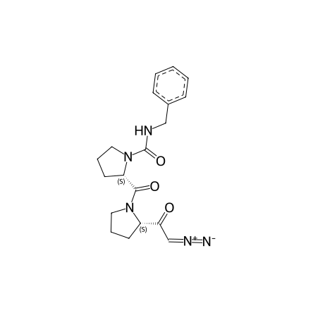 [N-]=[N+]=CC(=O)[C@@H]1CCCN1C(=O)[C@@H]1CCCN1C(=O)NCc1ccccc1